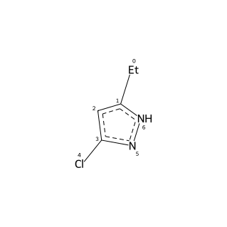 [CH2]Cc1cc(Cl)n[nH]1